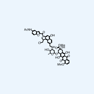 COC(=O)[C@]1(O)Cc2c(O)c3c(c(O)c2[C@@H](OC2C[C@H](NCc4ccc5c(O)cc6c(c5c4)C(CCl)CN6C(=O)c4cc5cc(NC(C)=O)ccc5o4)[C@H](O)[C@H](C)O2)C1)C(=O)c1c(OC)cccc1C3=O